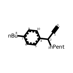 [C]#CC(CCCCC)c1ccc(CCCC)cc1